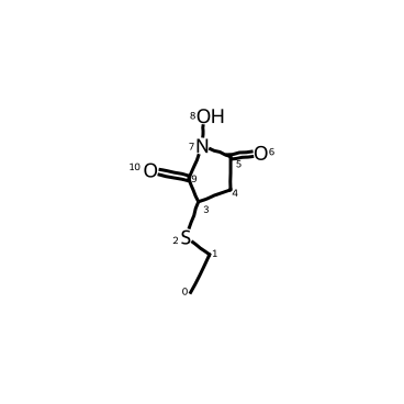 CCSC1CC(=O)N(O)C1=O